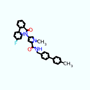 Cc1ccc(-c2ccc(CNC(=O)c3cc(NC(=O)c4ccccc4-c4ccc(F)cc4)cn3C)cc2)cc1